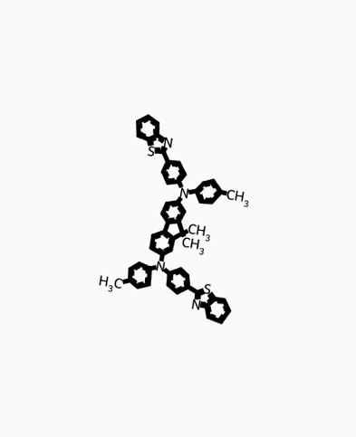 Cc1ccc(N(c2ccc(-c3nc4ccccc4s3)cc2)c2ccc3c(c2)C(C)(C)c2cc(N(c4ccc(C)cc4)c4ccc(-c5nc6ccccc6s5)cc4)ccc2-3)cc1